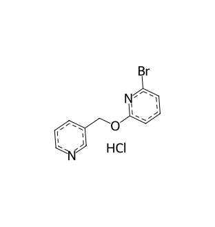 Brc1cccc(OCc2cccnc2)n1.Cl